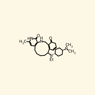 CCN(C1CCCCc2cc(C)[nH]c(=O)c2NCC2=C1C=CCC2=O)[C@H]1CC[C@H](N(C)C)CC1